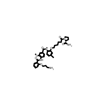 COc1cc(C(=O)N(C)c2ccc(C)cc2OCCCCCC(=O)N2CCC[C@H]2C(N)=O)ccc1NC(=O)c1ccccc1OCCCN